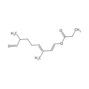 CCC(=O)OC=CC(C)=CCCC(C)C=O